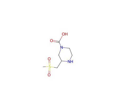 CS(=O)(=O)CC1CN(C(=O)O)CCN1